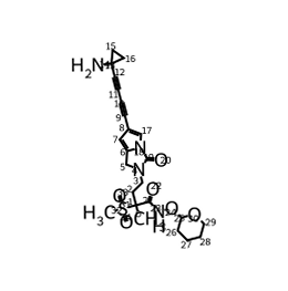 CC(CCN1Cc2cc(C#CC#CC3(N)CC3)cn2C1=O)(C(=O)NOC1CCCCO1)S(C)(=O)=O